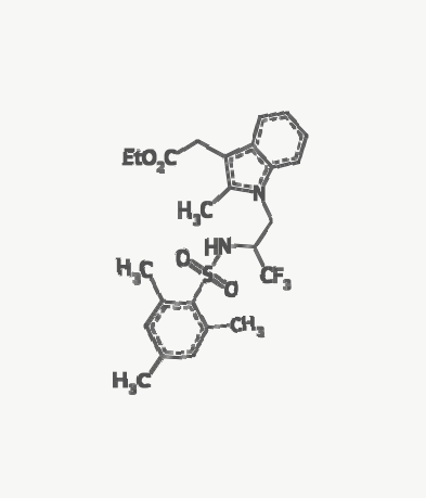 CCOC(=O)Cc1c(C)n(CC(NS(=O)(=O)c2c(C)cc(C)cc2C)C(F)(F)F)c2ccccc12